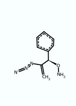 C=C(N=[N+]=[N-])[C@H](ON)c1ccccc1